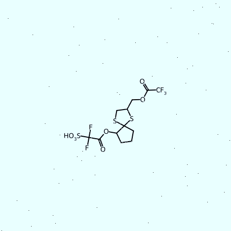 O=C(OCC1CSC2(CCCC2OC(=O)C(F)(F)S(=O)(=O)O)S1)C(F)(F)F